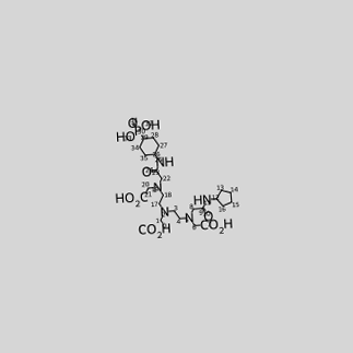 O=C(O)CN(CCN(CC(=O)O)CC(=O)NC1CCCC1)CCN(CC(=O)O)CC(=O)NC1CCC(P(=O)(O)O)CC1